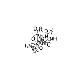 C[C@@H](OC1CC2(CNC2=O)N(C(=O)OC(C)(C)C)C12CNC2=O)[C@H](NCC1CCC2(CNC2=O)N1C(=O)OC(C)(C)C)C(=O)N(C)C